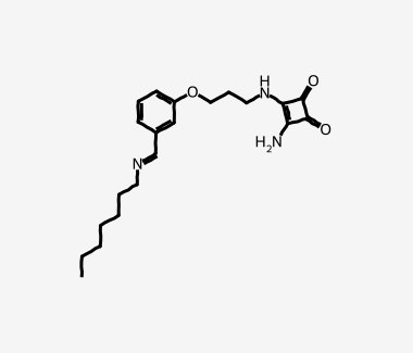 CCCCCCCN=Cc1cccc(OCCCNc2c(N)c(=O)c2=O)c1